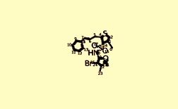 Cc1csc(CC=Cc2ccccc2)c1S(=O)(=O)Nc1onc(C)c1Br